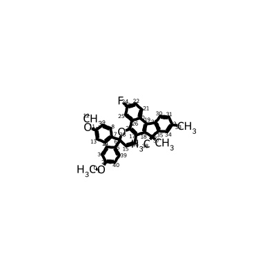 COc1ccc(C2(c3ccc(OC)cc3)C=Cc3c4c(c5ccc(F)cc5c3O2)-c2ccc(C)cc2C4(C)C)cc1